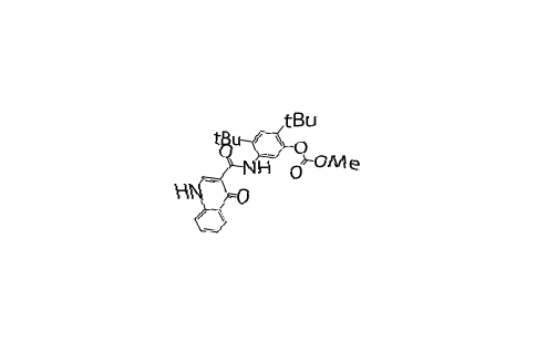 COC(=O)Oc1cc(NC(=O)c2c[nH]c3ccccc3c2=O)c(C(C)(C)C)cc1C(C)(C)C